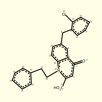 O=C(O)c1cc(=O)c2cc(Cc3ccccc3Cl)ccc2n1CCc1ccccc1